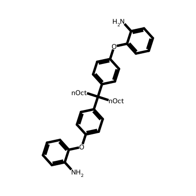 CCCCCCCCC(CCCCCCCC)(c1ccc(Oc2ccccc2N)cc1)c1ccc(Oc2ccccc2N)cc1